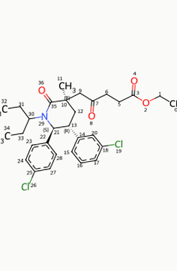 CCOC(=O)CCC(=O)C[C@@]1(C)C[C@H](c2cccc(Cl)c2)[C@@H](c2ccc(Cl)cc2)N(C(CC)CC)C1=O